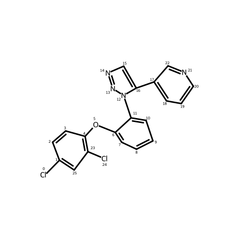 Clc1ccc(Oc2ccccc2-n2nncc2-c2cccnc2)c(Cl)c1